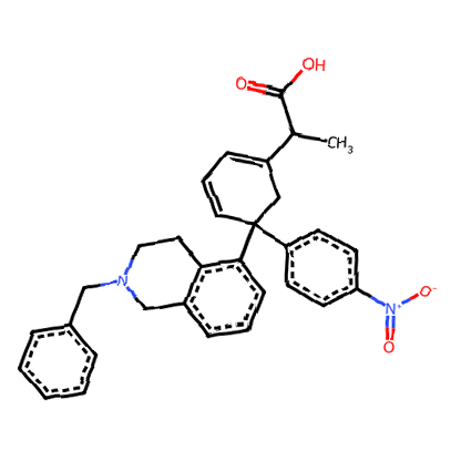 CC(C(=O)O)C1=CC=CC(c2ccc([N+](=O)[O-])cc2)(c2cccc3c2CCN(Cc2ccccc2)C3)C1